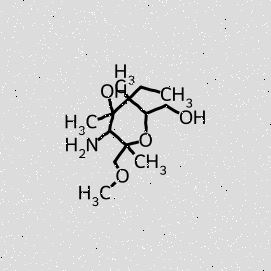 CCC1(C)C(CO)OC(C)(COC)C(N)C1(C)O